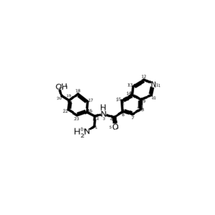 NCC(NC(=O)c1ccc2cnccc2c1)c1ccc(CO)cc1